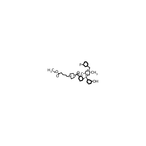 CCOC(=O)CCCCN1CCN(C(=O)c2cccc([C@H](c3cccc(O)c3)N3C[C@@H](C)N(Cc4cccc(F)c4)C[C@@H]3C)c2)CC1